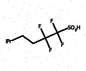 CC(C)CCC(F)(F)C(F)(F)S(=O)(=O)O